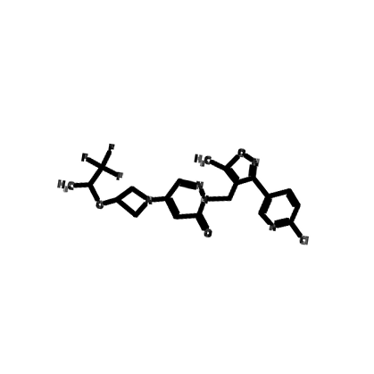 Cc1onc(-c2ccc(Cl)nc2)c1Cn1ncc(N2CC(OC(C)C(F)(F)F)C2)cc1=O